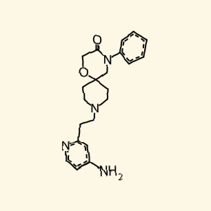 Nc1ccnc(CCN2CCC3(CC2)CN(c2ccccc2)C(=O)CO3)c1